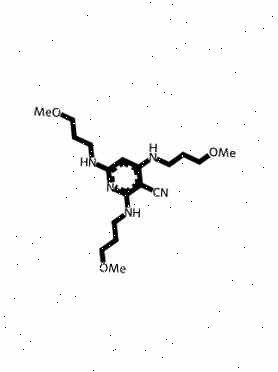 COCCCNc1cc(NCCCOC)c(C#N)c(NCCCOC)n1